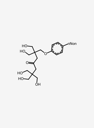 CCCCCCCCCc1ccc(OCC(CO)(CO)CC(=O)CC(CO)(CO)CO)cc1